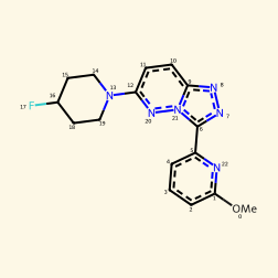 COc1cccc(-c2nnc3ccc(N4CCC(F)CC4)nn23)n1